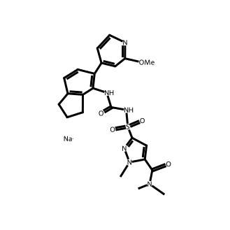 COc1cc(-c2ccc3c(c2NC(=O)NS(=O)(=O)c2cc(C(=O)N(C)C)n(C)n2)CCC3)ccn1.[Na]